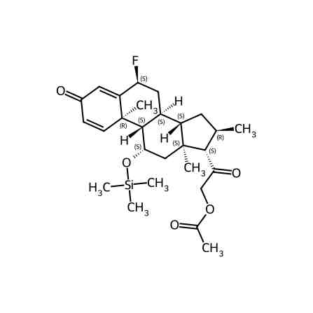 CC(=O)OCC(=O)[C@H]1[C@H](C)C[C@H]2[C@@H]3C[C@H](F)C4=CC(=O)C=C[C@]4(C)[C@H]3[C@@H](O[Si](C)(C)C)C[C@@]21C